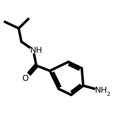 CC(C)CNC(=O)c1ccc(N)cc1